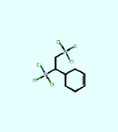 Cl[Si](Cl)(Cl)CC(C1CC=CCC1)[Si](Cl)(Cl)Cl